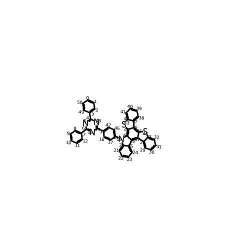 c1ccc(-c2nc(-c3ccccc3)nc(-c3ccc(-n4c5ccccc5c5c6c7ccccc7sc6c6c7ccccc7sc6c54)cc3)n2)cc1